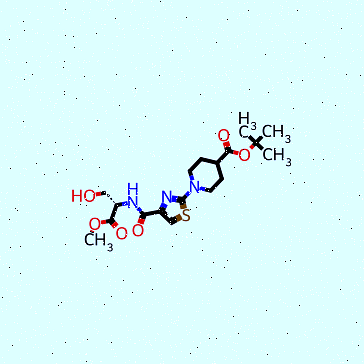 COC(=O)[C@H](CO)NC(=O)c1csc(N2CCC(C(=O)OC(C)(C)C)CC2)n1